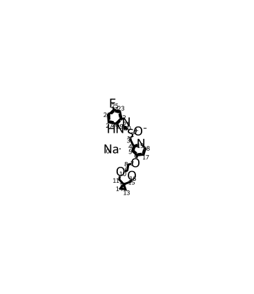 [Na].[O-][S+](Cc1cc(OCC2OCC3(CC3)CO2)ccn1)c1nc2cc(F)ccc2[nH]1